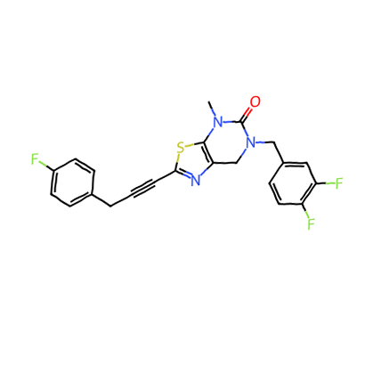 CN1C(=O)N(Cc2ccc(F)c(F)c2)Cc2nc(C#CCc3ccc(F)cc3)sc21